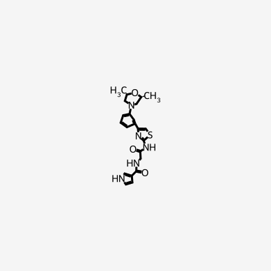 C[C@@H]1CN(c2cccc(-c3csc(NC(=O)CNC(=O)c4cc[nH]c4)n3)c2)C[C@H](C)O1